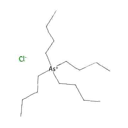 CCCC[As+](CCCC)(CCCC)CCCC.[Cl-]